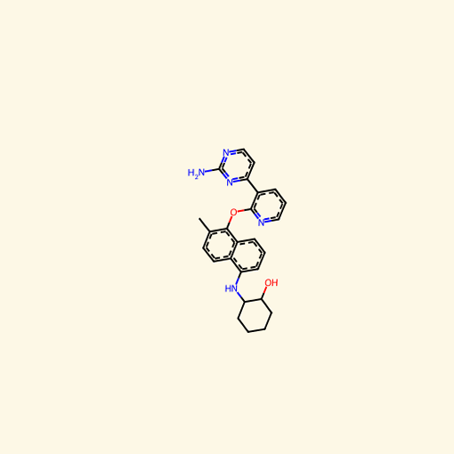 Cc1ccc2c(NC3CCCCC3O)cccc2c1Oc1ncccc1-c1ccnc(N)n1